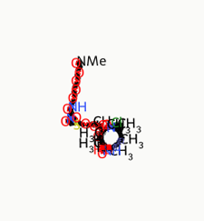 CNC(=O)CCOCCOCCOCCOCCNC(=O)CCN1C(=O)CC(SCCOCCO[C@@H](C)C(=O)O[C@H]2CC(=O)N(C)c3cc(cc(C)c3Cl)C/C(C)=C/C=C/[C@@H](C)[C@@]3(O)C[C@H](OC(=O)N3)[C@@H](C)[C@@H]3O[C@@]23C)C1=O